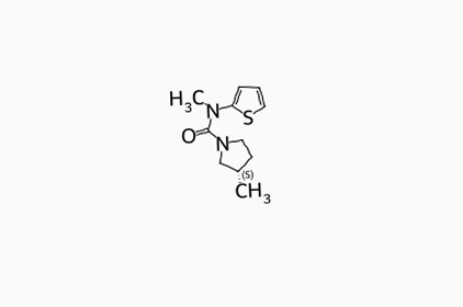 C[C@H]1CCN(C(=O)N(C)c2cccs2)C1